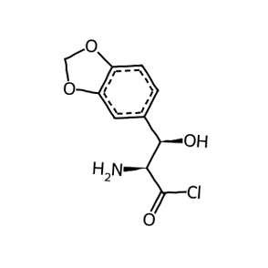 N[C@H](C(=O)Cl)[C@H](O)c1ccc2c(c1)OCO2